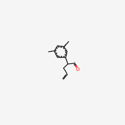 C=CCC([C]=O)c1cc(C)cc(C)c1